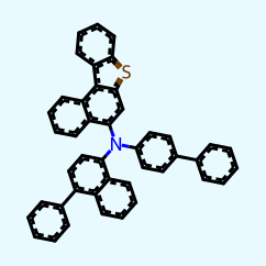 c1ccc(-c2ccc(N(c3ccc(-c4ccccc4)c4ccccc34)c3cc4sc5ccccc5c4c4ccccc34)cc2)cc1